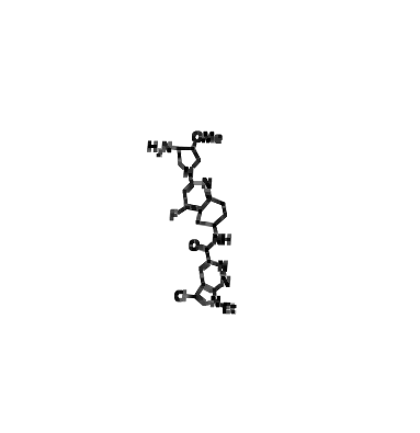 CCn1cc(Cl)c2cc(C(=O)NC3CCc4nc(N5CC(N)C(OC)C5)cc(F)c4C3)nnc21